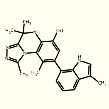 Cc1c(-c2cccc3c(C)c[nH]c23)cc(O)c2c1-n1c(C)nnc1C(C)(C)N2